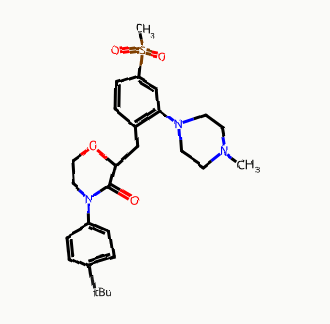 CN1CCN(c2cc(S(C)(=O)=O)ccc2CC2OCCN(c3ccc(C(C)(C)C)cc3)C2=O)CC1